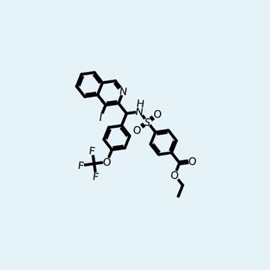 CCOC(=O)c1ccc(S(=O)(=O)NC(c2ccc(OC(F)(F)F)cc2)c2ncc3ccccc3c2I)cc1